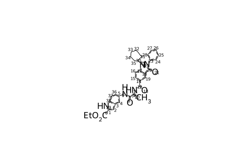 CCOC(=O)c1cc2cc(NC(=O)[C@H](C)NC(=O)c3ccc4c(c3)c(=O)n(-c3ccccc3)n4C3CCCCC3)ccc2[nH]1